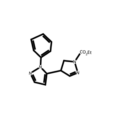 CCOC(=O)N1CC(c2ccnn2-c2ccccc2)C=N1